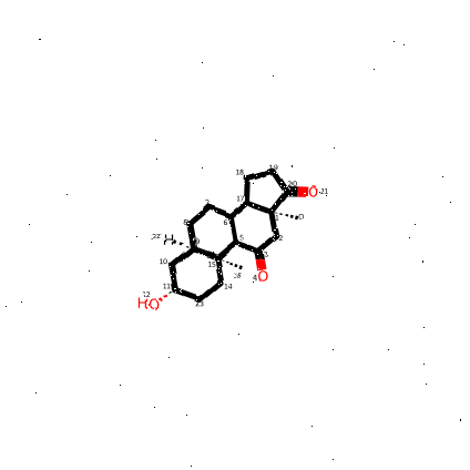 C[C@]12CC(=O)C3C(CC[C@@H]4C[C@@H](O)CC[C@]34C)C1CCC2=O